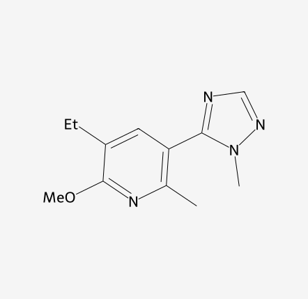 CCc1cc(-c2ncnn2C)c(C)nc1OC